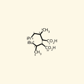 CC(C)CC(C)CC(=O)O.CCC(C)C(C)CC(=O)O